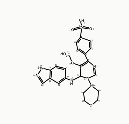 CS(=O)(=O)c1ccc(C2=C(OC(=O)O)C(Nc3ccc4[nH]ncc4c3)N(N3CCOCC3)C=N2)cc1